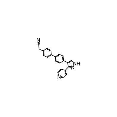 N#CCc1ccc(-c2ccc(-c3c[nH]nc3-c3ccncc3)cc2)cc1